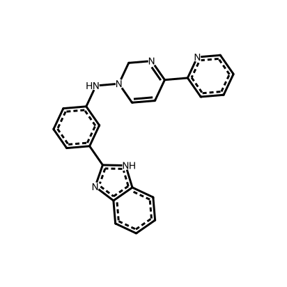 C1=CN(Nc2cccc(-c3nc4ccccc4[nH]3)c2)CN=C1c1ccccn1